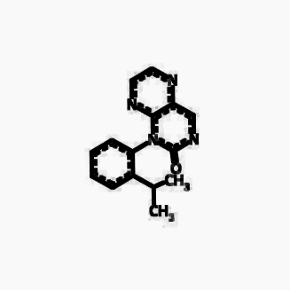 CC(C)c1ccccc1-n1c(=O)ncc2nccnc21